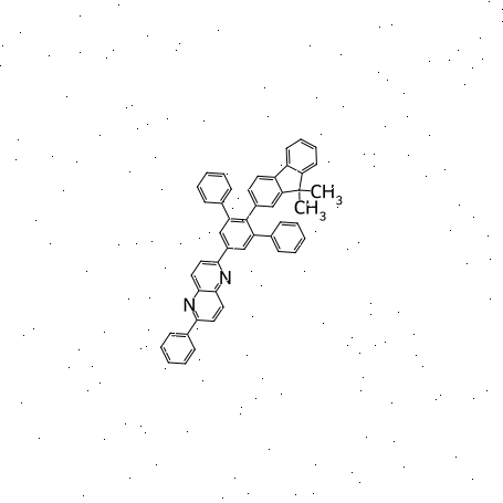 CC1(C)c2ccccc2-c2ccc(-c3c(-c4ccccc4)cc(-c4ccc5nc(-c6ccccc6)ccc5n4)cc3-c3ccccc3)cc21